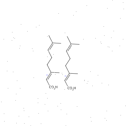 CC(C)=CCC/C(C)=C/C(=O)O.CC(C)=CCC/C(C)=C/C(=O)O